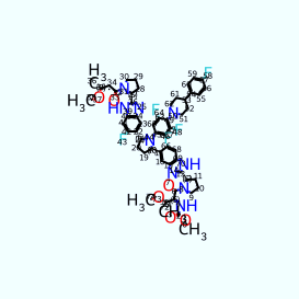 COC(=O)N[C@H](C(=O)N1CCC[C@H]1c1nc2cc([C@H]3CC[C@H](c4cc5nc([C@@H]6CCCN6C(=O)[CH][C@@H](C)OC)[nH]c5cc4F)N3c3cc(F)c(N4CCC(c5ccc(F)cc5)CC4)c(F)c3)c(F)cc2[nH]1)[C@@H](C)OC